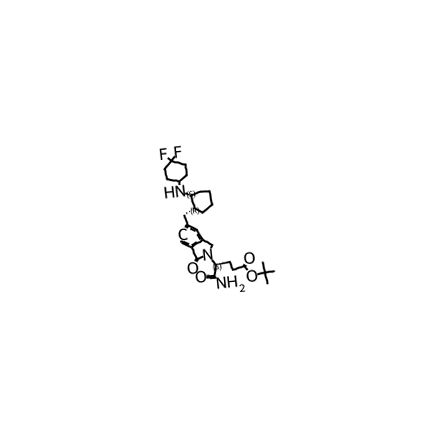 CC(C)(C)OC(=O)CC[C@@H](C(N)=O)N1Cc2cc(C[C@H]3CCCC[C@@H]3NC3CCC(F)(F)CC3)ccc2C1=O